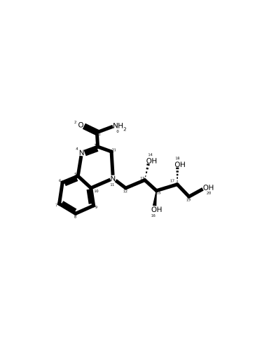 NC(=O)C1=Nc2ccccc2N(C[C@H](O)[C@H](O)[C@H](O)CO)C1